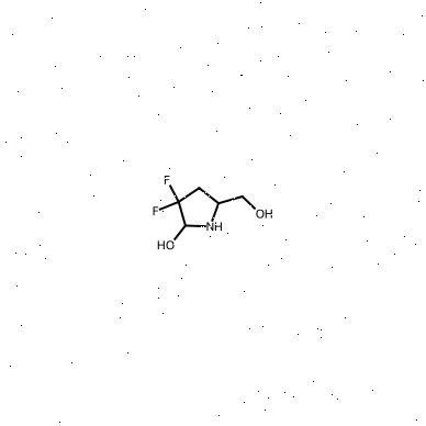 OCC1CC(F)(F)C(O)N1